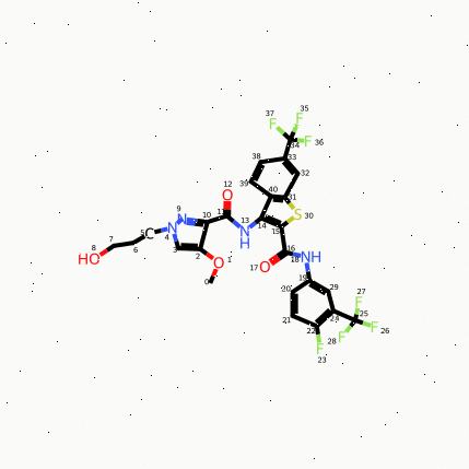 COc1cn(CCCO)nc1C(=O)Nc1c(C(=O)Nc2ccc(F)c(C(F)(F)F)c2)sc2cc(C(F)(F)F)ccc12